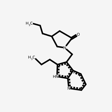 CCCc1[nH]c2ncccc2c1CN1CC(CCC)CC1=O